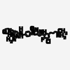 C[C@H](N)CCCc1cc(Cl)c(F)c(-c2cc3cn(-c4ccc(CNCC[C@H](CN5CCOCC5)NC(=N)N)cc4)c(=O)nc3[nH]2)c1